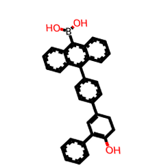 OB(O)c1c2ccccc2c(-c2ccc(C3=CC(c4ccccc4)=C(O)CC3)cc2)c2ccccc12